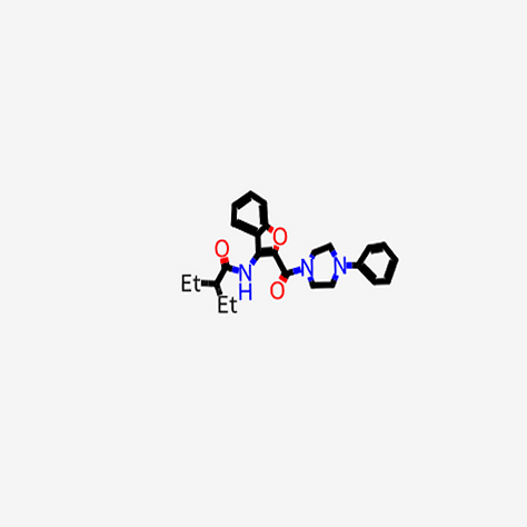 CCC(CC)C(=O)Nc1c(C(=O)N2CCN(c3ccccc3)CC2)oc2ccccc12